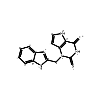 O=c1[nH]c(=S)n(Cc2nc3ccccc3[nH]2)c2cc[nH]c12